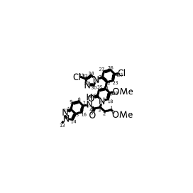 COCCC(C(=O)Nc1ccc2nn(C)cc2c1)n1cc(OC)c(-c2cc(Cl)ccc2-n2cnc(Cl)c2)cc1=O